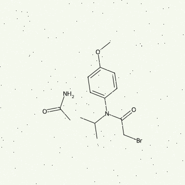 CC(N)=O.COc1ccc(N(C(=O)CBr)C(C)C)cc1